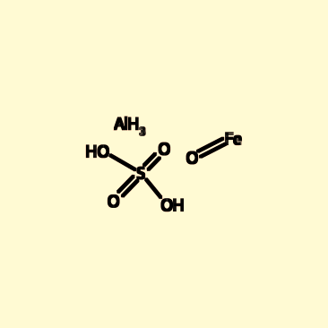 O=S(=O)(O)O.[AlH3].[O]=[Fe]